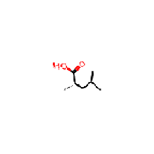 CC(C)C[C@H](C)C(=O)O